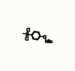 CCCCOc1ccc([Si](C)(Cl)Cl)cc1